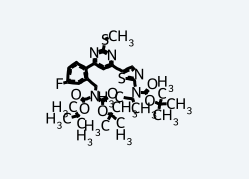 CSc1nc(-c2cnc(N(C(=O)OC(C)(C)C)C(C)C)s2)cc(-c2ccc(F)cc2CN(C(=O)OC(C)(C)C)C(=O)OC(C)(C)C)n1